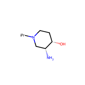 CC(C)N1CC[C@H](O)[C@H](N)C1